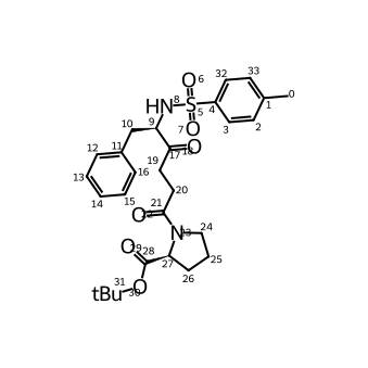 Cc1ccc(S(=O)(=O)N[C@H](Cc2ccccc2)C(=O)CCC(=O)N2CCC[C@H]2C(=O)OC(C)(C)C)cc1